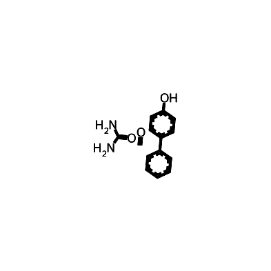 C=O.NC(N)=O.Oc1ccc(-c2ccccc2)cc1